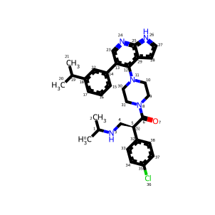 CC(C)NC[C@@H](C(=O)N1CCN(c2c(-c3cccc(C(C)C)c3)cnc3[nH]ccc23)CC1)c1ccc(Cl)cc1